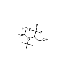 CC(C)(C)N(C(=O)O)C(CO)C(F)(F)F